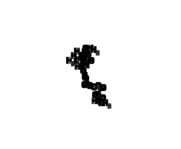 C=CCN(C)N(c1cccc(C(C)(C)O)n1)c1nc(Nc2ccc(N3CCN(C(=O)COc4ccc5c(ccc6occ(C(C=O)CCC(=O)NC)c65)c4)CC3)cc2)ncc1C=O